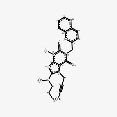 CC#CCn1c(N(C)CCN)nc2c1c(=O)n(Cc1ccc3ncccc3n1)c(=O)n2C